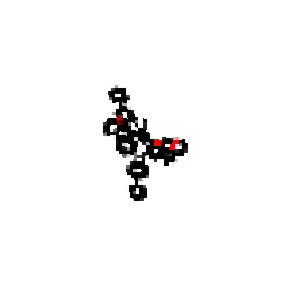 CC1(C)C2=C(C=C=C=C2)c2ccc(N(c3ccc(-c4ccccc4)cc3)c3ccc4c(c3)C3(c5ccc(C6=CCCC=C6)cc5Oc5cc(-c6ccccc6)ccc53)c3ccccc3-4)cc21